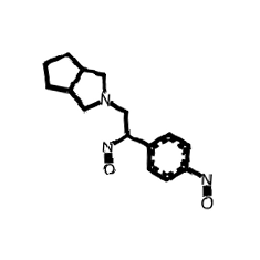 O=Nc1ccc(C(CN2CC3CCCC3C2)N=O)cc1